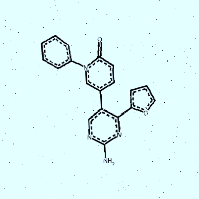 Nc1ncc(-c2ccc(=O)n(-c3ccccc3)c2)c(-c2ccco2)n1